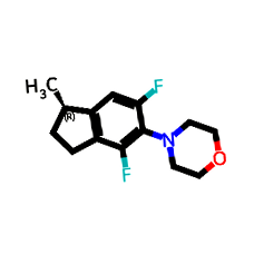 C[C@@H]1CCc2c1cc(F)c(N1CCOCC1)c2F